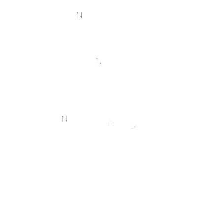 Cc1nccnc1CC=Nc1ccccc1O[Si](C)(C)C